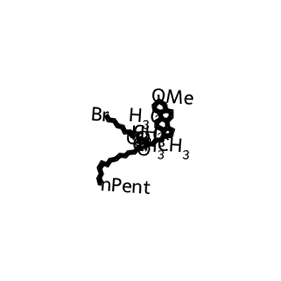 CCCCC/C=C\C/C=C\CCCCCCCCOC(CC[C@@H](C)C1CCC2C3CCC4C[C@H](OC)CC[C@]4(C)C3CC[C@@]21C)O[Si](C)(C)OCCCCCCBr